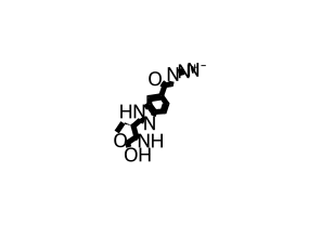 CC[C@@H](C(=N)C(=O)O)c1nc2ccc(C(=O)CN=[N+]=[N-])cc2[nH]1